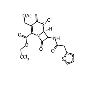 C=C1C(COC(C)=O)=C(C(=O)OCC(Cl)(Cl)Cl)N2C(=O)C(NC(=O)Cc3cccs3)[C@@H]2[S+]1[O-]